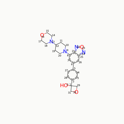 OC1(c2ccc(-c3cc(N4CCC(N5CCOCC5)CC4)c4nonc4c3)cc2)COC1